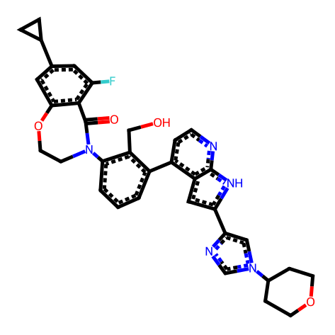 O=C1c2c(F)cc(C3CC3)cc2OCCN1c1cccc(-c2ccnc3[nH]c(-c4cn(C5CCOCC5)cn4)cc23)c1CO